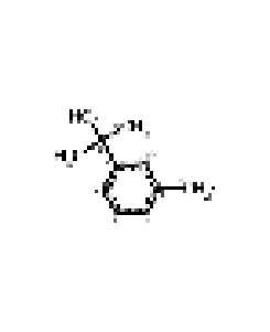 [CH2]c1cccc(C(C)(C)O)n1